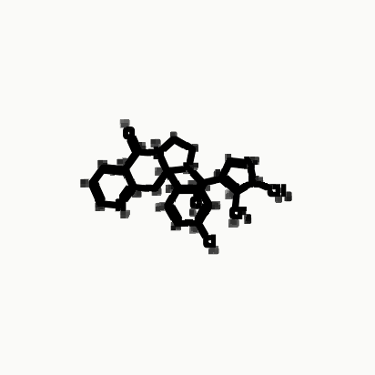 Cn1ncc(C(=O)N2CCN3C(=O)c4cccnc4CC32c2ccc(Cl)cc2)c1C(F)(F)F